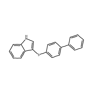 c1ccc(-c2ccc(Sc3c[nH]c4ccccc34)cc2)cc1